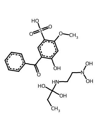 CCC(O)(O)NCCN(O)O.COc1cc(O)c(C(=O)c2ccccc2)cc1S(=O)(=O)O